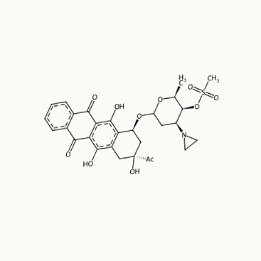 CC(=O)[C@]1(O)Cc2c(O)c3c(c(O)c2[C@@H](OC2C[C@H](N4CC4)[C@H](OS(C)(=O)=O)[C@H](C)O2)C1)C(=O)c1ccccc1C3=O